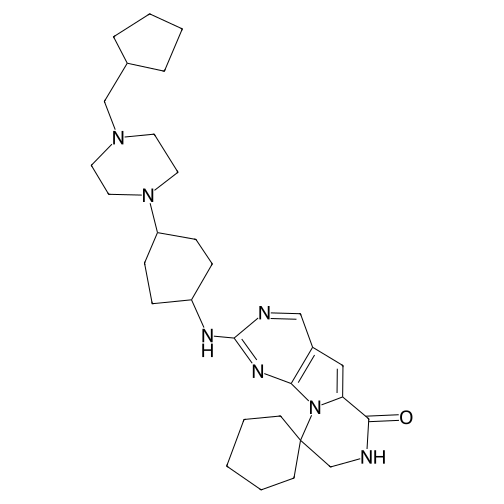 O=C1NCC2(CCCCC2)n2c1cc1cnc(NC3CCC(N4CCN(CC5CCCC5)CC4)CC3)nc12